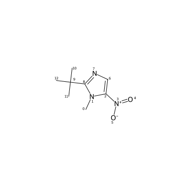 Cn1c([N+](=O)[O-])cnc1C(C)(C)C